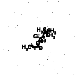 CC=CC(=O)ONCCC[N+](C)(C)C.[Cl-]